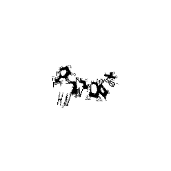 CC(C)(C)[S@@+]([O-])N[C@H]1CCC12CCN(c1cnc(Sc3cccnc3C(F)(F)F)c(N)n1)CC2